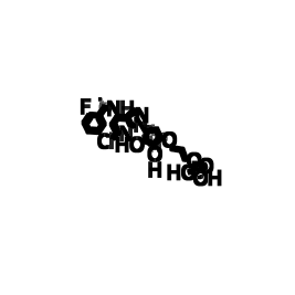 C[C@H](Nc1cc(Cl)nc2c1cnn2[C@@H]1C[C@H](OCCCOP(=O)(O)O)[C@@H](O)[C@H]1O)c1ccccc1F